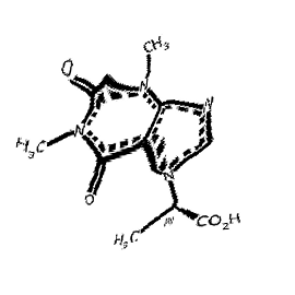 C[C@H](C(=O)O)n1cnc2c1c(=O)n(C)c(=O)n2C